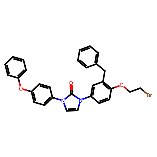 O=c1n(-c2ccc(Oc3ccccc3)cc2)ccn1-c1ccc(OCCBr)c(Cc2ccccc2)c1